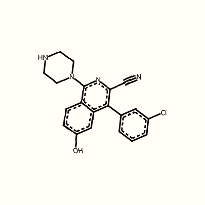 N#Cc1nc(N2CCNCC2)c2ccc(O)cc2c1-c1cccc(Cl)c1